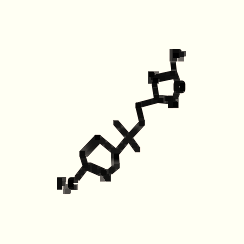 CC(C)c1nc(CCC(C)(C)c2ccc(C(F)(F)F)nc2)no1